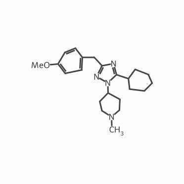 COc1ccc(Cc2nc(C3CCCCC3)n(C3CCN(C)CC3)n2)cc1